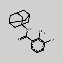 Cc1c(Br)cccc1C(=O)NC12CC3CC(CC(C3)C1)C2